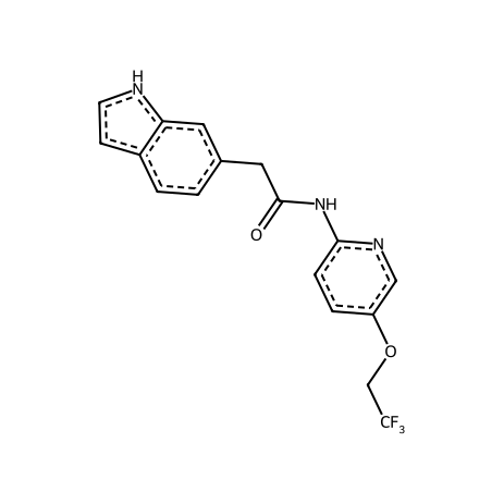 O=C(Cc1ccc2cc[nH]c2c1)Nc1ccc(OCC(F)(F)F)cn1